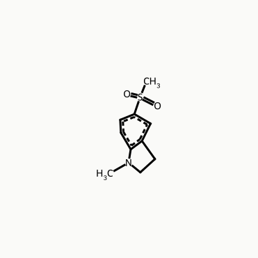 CN1CCc2cc(S(C)(=O)=O)ccc21